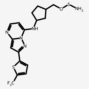 NSOCC1CCC(Nc2ccnc3cc(-c4ccc(C(F)(F)F)s4)nn23)C1